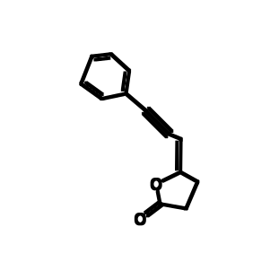 O=C1CCC(=CC#Cc2ccccc2)O1